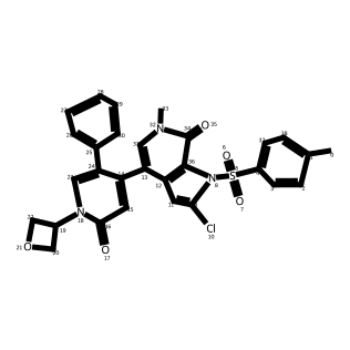 Cc1ccc(S(=O)(=O)n2c(Cl)cc3c(-c4cc(=O)n(C5COC5)cc4-c4ccccc4)cn(C)c(=O)c32)cc1